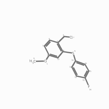 COc1ccc(CCl)c(Sc2ccc(F)cc2)c1